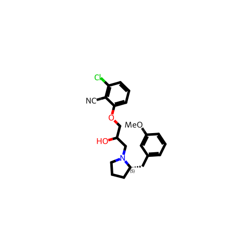 COc1cccc(C[C@@H]2CCCN2CC(O)COc2cccc(Cl)c2C#N)c1